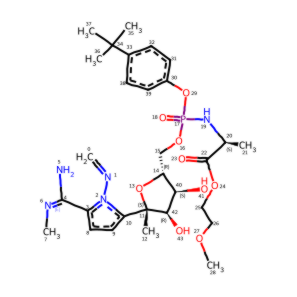 C=Nn1c(/C(N)=N\C)ccc1[C@]1(C)O[C@H](COP(=O)(N[C@@H](C)C(=O)OCCOC)Oc2ccc(C(C)(C)C)cc2)[C@@H](O)[C@H]1O